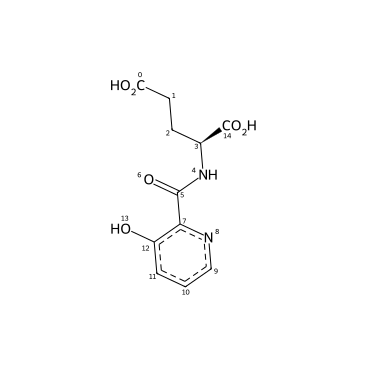 O=C(O)CC[C@H](NC(=O)c1ncccc1O)C(=O)O